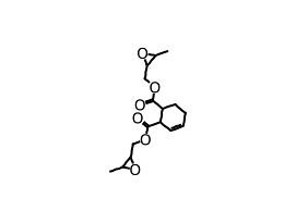 CC1OC1COC(=O)C1C=CCCC1C(=O)OCC1OC1C